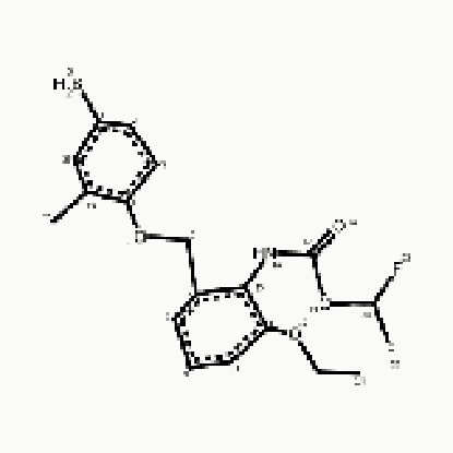 Bc1ccc(OCc2cccc(OCC)c2NC(=O)OC(F)F)c(C)c1